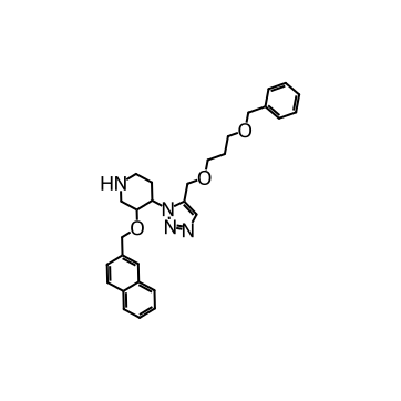 c1ccc(COCCCOCc2cnnn2C2CCNCC2OCc2ccc3ccccc3c2)cc1